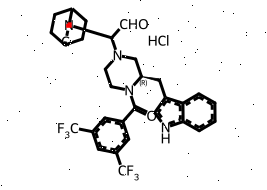 Cl.O=CC(N1CC2CCC(CC2)C1)N1CCN(C(=O)c2cc(C(F)(F)F)cc(C(F)(F)F)c2)[C@H](Cc2c[nH]c3ccccc23)C1